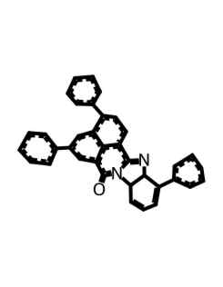 O=c1c2cc(-c3ccccc3)cc3c(-c4ccccc4)ccc(c4n1C1C=CC=C(c5ccccc5)C1N=4)c32